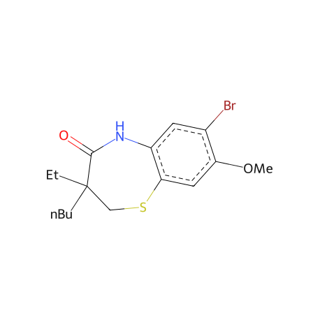 CCCCC1(CC)CSc2cc(OC)c(Br)cc2NC1=O